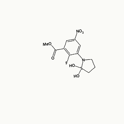 COC(=O)c1cc([N+](=O)[O-])cc(N2CCCS2(O)O)c1F